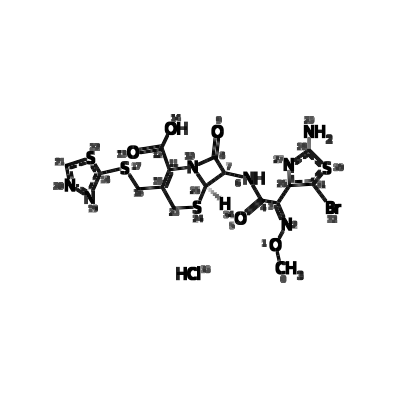 CO/N=C(\C(=O)NC1C(=O)N2C(C(=O)O)=C(CSc3nncs3)CS[C@H]12)c1nc(N)sc1Br.Cl